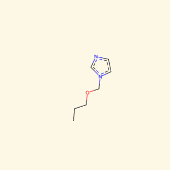 CCCOCn1ccnc1